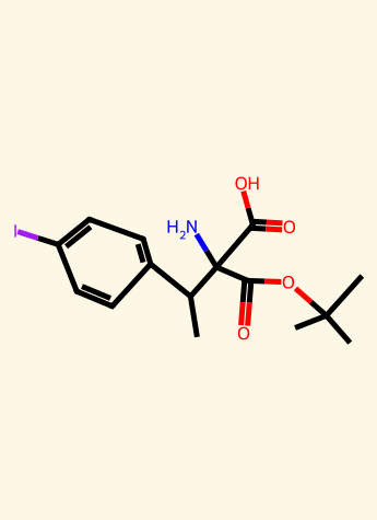 CC(c1ccc(I)cc1)C(N)(C(=O)O)C(=O)OC(C)(C)C